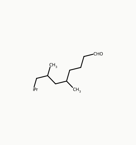 CC(C)CC(C)CC(C)CCCC=O